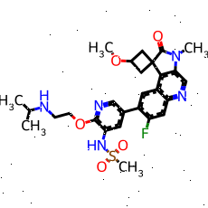 COC1CC2(C1)C(=O)N(C)c1cnc3cc(F)c(-c4cnc(OCCNC(C)C)c(NS(C)(=O)=O)c4)cc3c12